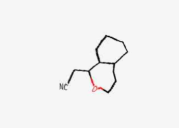 N#CCC1OCCC2CCCCC21